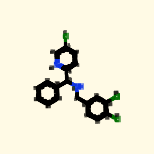 Clc1ccc(C(NCc2ccc(Cl)c(Cl)c2)c2ccccc2)nc1